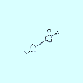 CCC1CCC(C#Cc2ccc(C#N)c(Cl)c2)CC1